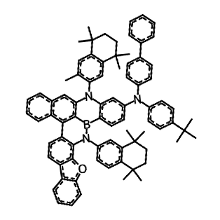 Cc1cc2c(cc1N1c3cc(N(c4ccc(-c5ccccc5)cc4)c4ccc(C(C)(C)C)cc4)ccc3B3c4c1cc1ccccc1c4-c1ccc4c(oc5ccccc54)c1N3c1ccc3c(c1)C(C)(C)CCC3(C)C)C(C)(C)CCC2(C)C